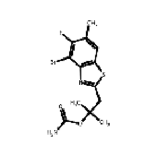 Cc1cc2sc(CC(C)(C)OC(N)=O)nc2c(Br)c1F